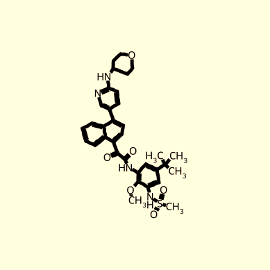 COc1c(NC(=O)C(=O)c2ccc(-c3ccc(NC4CCOCC4)nc3)c3ccccc23)cc(C(C)(C)C)cc1NS(C)(=O)=O